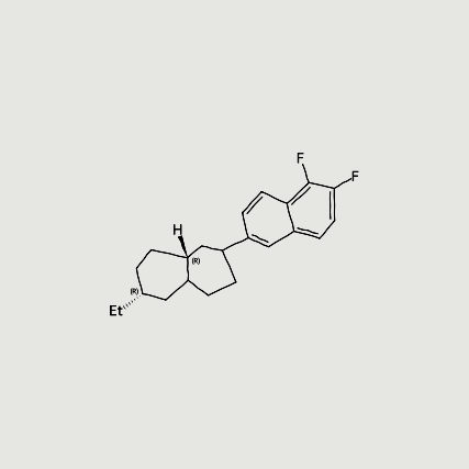 CC[C@@H]1CC[C@@H]2CC(c3ccc4c(F)c(F)ccc4c3)CCC2C1